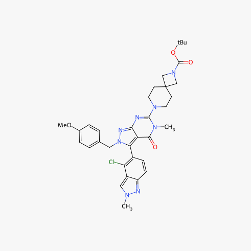 COc1ccc(Cn2nc3nc(N4CCC5(CC4)CN(C(=O)OC(C)(C)C)C5)n(C)c(=O)c3c2-c2ccc3nn(C)cc3c2Cl)cc1